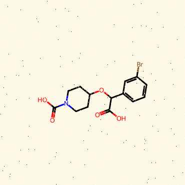 O=C(O)C(OC1CCN(C(=O)O)CC1)c1cccc(Br)c1